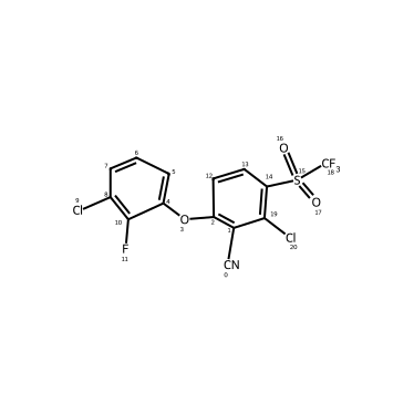 N#Cc1c(Oc2cccc(Cl)c2F)ccc(S(=O)(=O)C(F)(F)F)c1Cl